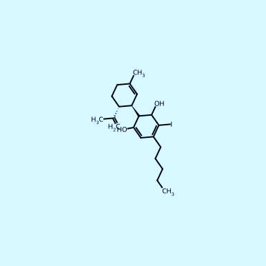 C=C(C)[C@@H]1CCC(C)=C[C@H]1C1C(O)=CC(CCCCC)=C(I)C1O